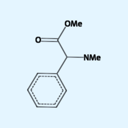 [CH2]NC(C(=O)OC)c1ccccc1